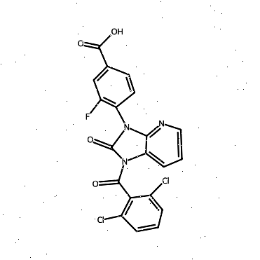 O=C(O)c1ccc(-n2c(=O)n(C(=O)c3c(Cl)cccc3Cl)c3cccnc32)c(F)c1